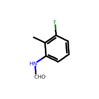 Cc1c(F)cccc1N[C]=O